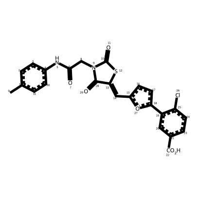 Cc1ccc(NC(=O)CN2C(=O)S/C(=C\c3ccc(-c4cc(C(=O)O)ccc4Cl)o3)C2=O)cc1